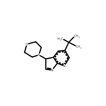 CC(C)(C)c1cnc2c(c1)C(N1CCOCC1)C=N2